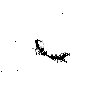 Cc1ncsc1-c1ccc([C@H](C)NC(=O)[C@@H]2CCCN2C(=O)[C@@H](NC(=O)COCCCCCOc2ccc(-c3ncc(N4C(=S)N(c5ccc(C#N)c(C(F)(F)F)c5F)C(=O)C4(C)C)cc3F)cc2F)C(C)(C)C)cc1